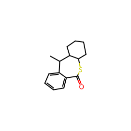 CC1c2ccccc2C(=O)SC2CCCCC21